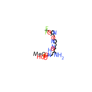 COP(=O)(O)OCN/C=C\C=C(/CN)c1cc(Cc2ccc(OCc3nccc(OCC(C)(F)F)c3C)nc2)no1